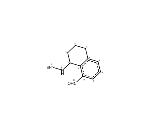 CCCNC1CCCc2cccc(C=O)c21